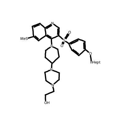 CCCCCCCOc1ccc(S(=O)(=O)c2cnc3ccc(SC)cc3c2N2CCC(N3CCN(CCO)CC3)CC2)cc1